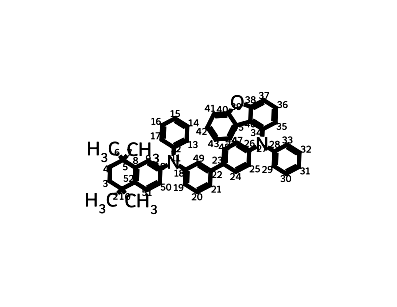 CC1(C)CCC(C)(C)c2cc(N(c3ccccc3)c3cccc(-c4ccc(N(c5ccccc5)c5cccc6oc7ccccc7c56)cc4)c3)ccc21